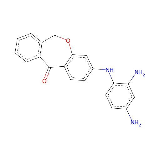 Nc1ccc(Nc2ccc3c(c2)OCc2ccccc2C3=O)c(N)c1